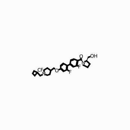 O=C(c1ccc(-c2ccc(OCC3CCN(CC4(C(F)(F)F)CCC4)CC3)cc2F)cc1F)N1CCC[C@@H]1CO